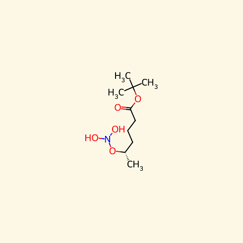 C[C@@H](CCCC(=O)OC(C)(C)C)ON(O)O